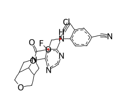 C#CCCOC(=O)N1CC2COCC(C1)C2Oc1ncnc(Nc2ccc(C#N)cc2Cl)c1F